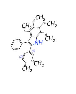 C=C/C=C\C(=C/C=C)c1[nH]c2c(C=C)c(C=C)c(C=C)c(C=C)c2c1-c1ccccc1